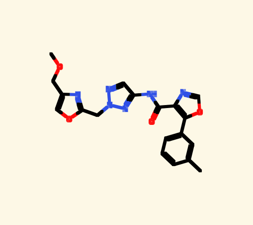 COCc1coc(Cn2ncc(NC(=O)c3ncoc3-c3cccc(C)c3)n2)n1